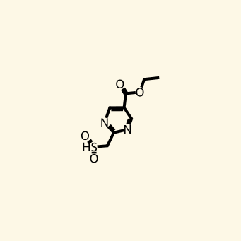 CCOC(=O)c1cnc(C[SH](=O)=O)nc1